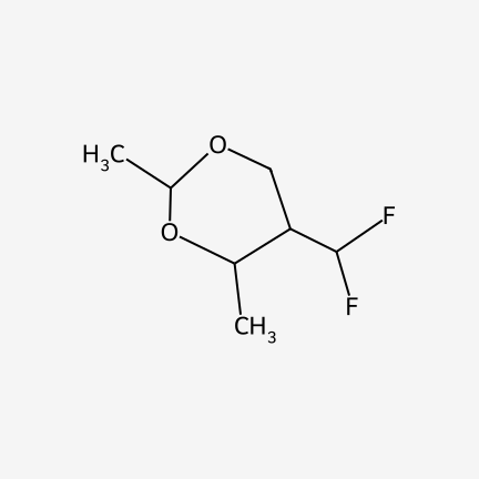 CC1OCC(C(F)F)C(C)O1